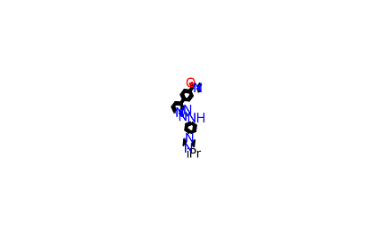 CC(C)N1CCN(c2ccc(Nc3nc4c(-c5ccc(C(=O)N(C)C)cc5)cccn4n3)cc2)CC1